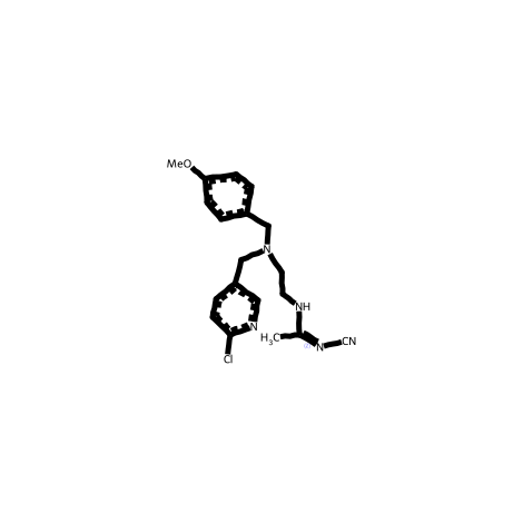 COc1ccc(CN(CCN/C(C)=N\C#N)Cc2ccc(Cl)nc2)cc1